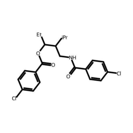 CCC(OC(=O)c1ccc(Cl)cc1)C(CNC(=O)c1ccc(Cl)cc1)C(C)C